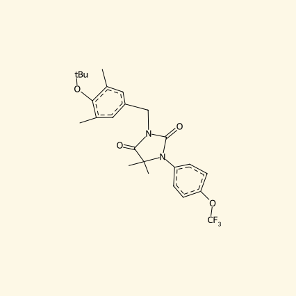 Cc1cc(CN2C(=O)N(c3ccc(OC(F)(F)F)cc3)C(C)(C)C2=O)cc(C)c1OC(C)(C)C